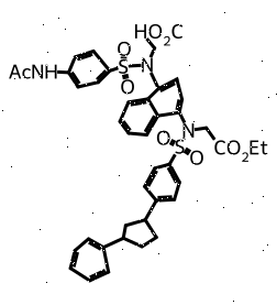 CCOC(=O)CN(c1ccc(N(CC(=O)O)S(=O)(=O)c2ccc(NC(C)=O)cc2)c2ccccc12)S(=O)(=O)c1ccc(C2CCC(c3ccccc3)C2)cc1